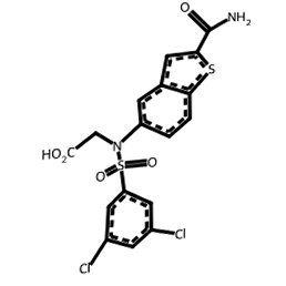 NC(=O)c1cc2cc(N(CC(=O)O)S(=O)(=O)c3cc(Cl)cc(Cl)c3)ccc2s1